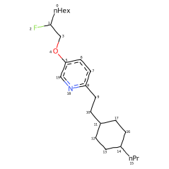 CCCCCCC(F)COc1ccc(CCC2CCC(CCC)CC2)nc1